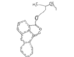 CC(C)COC(=O)c1cccc2sc3ccccc3c(=O)c12